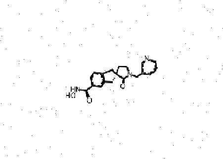 O=C(NO)c1ccc2c(c1)C[C@@]1(CCN(Cc3cccnc3)C1=O)C2